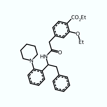 CCOC(=O)c1ccc(CC(=O)NC(Cc2ccccc2)c2ccccc2N2CCCCC2)cc1OCC